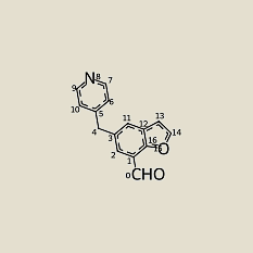 O=Cc1cc(Cc2ccncc2)cc2ccoc12